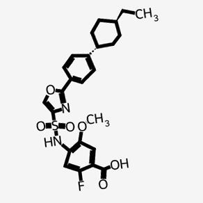 CC[C@H]1CC[C@H](c2ccc(-c3nc(S(=O)(=O)Nc4cc(F)c(C(=O)O)cc4OC)co3)cc2)CC1